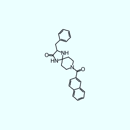 O=C1NC2(CCN(C(=O)c3ccc4ccccc4c3)CC2)NC1Cc1ccccc1